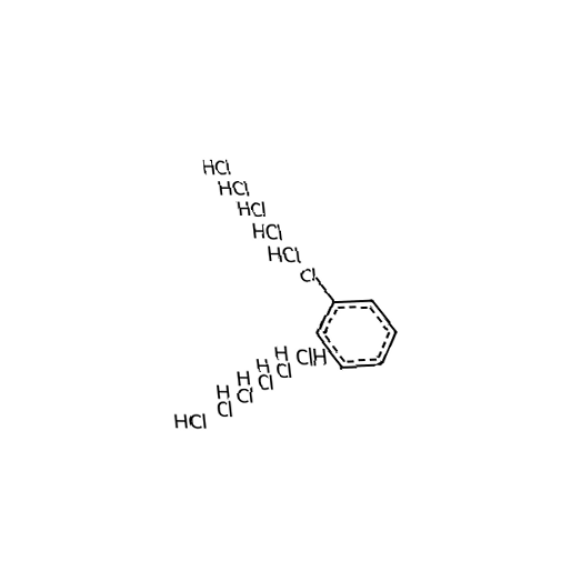 Cl.Cl.Cl.Cl.Cl.Cl.Cl.Cl.Cl.Cl.Cl.Clc1ccccc1